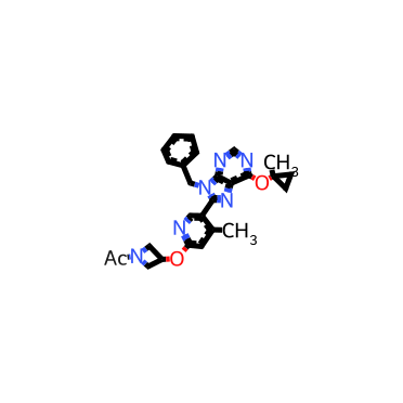 CC(=O)N1CC(Oc2cc(C)c(-c3nc4c(OC5(C)CC5)ncnc4n3Cc3ccccc3)cn2)C1